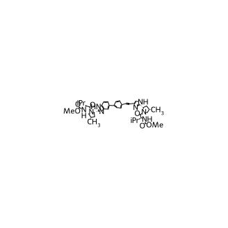 COC(=O)N[C@H](C(=O)N1C[C@@H](C)C[C@H]1c1nc(C#Cc2ccc(-c3ccc4[nH]c([C@@H]5C[C@H](C)CN5C(=O)[C@@H](NC(=O)OC)C(C)C)nc4c3)cc2)c[nH]1)C(C)C